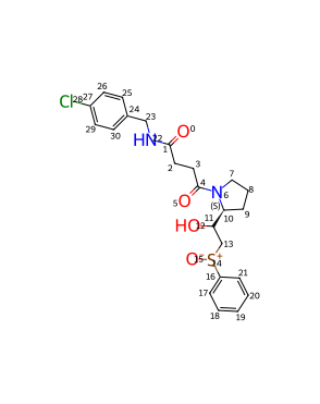 O=C(CCC(=O)N1CCC[C@H]1C(O)C[S+]([O-])c1ccccc1)NCc1ccc(Cl)cc1